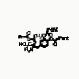 CCCC(C)C(=O)Oc1ccc(CC(N)(C[C@H](C)OC(=O)C(C)C)C(=O)O)cc1OC(=O)C(C)CCC